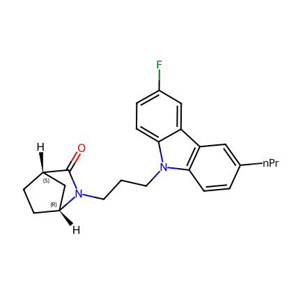 CCCc1ccc2c(c1)c1cc(F)ccc1n2CCCN1C(=O)[C@H]2CC[C@@H]1C2